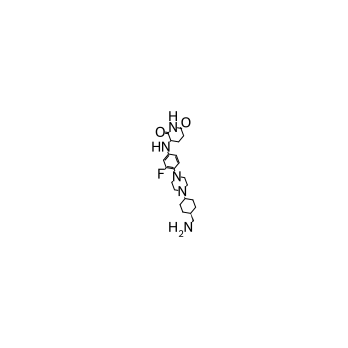 NC[C@H]1CC[C@H](N2CCN(c3ccc(NC4CCC(=O)NC4=O)cc3F)CC2)CC1